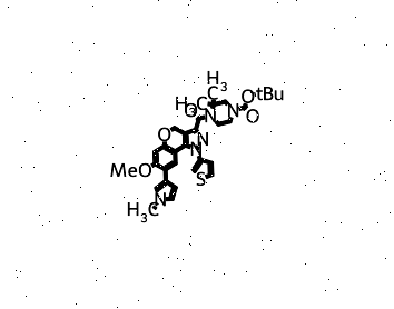 COc1cc2c(cc1-c1ccn(C)c1)-c1c(c(C(=O)N3CCN(C(=O)OC(C)(C)C)CC3(C)C)nn1-c1ccsc1)CO2